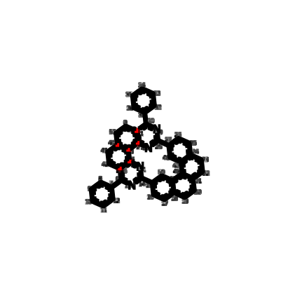 c1ccc(-c2nc(-c3ccccc3)nc(-c3ccc4ccc5ccc6ccc(-c7nc(-c8ccccc8)nc(-c8ccccc8)n7)cc6c5c4c3)n2)cc1